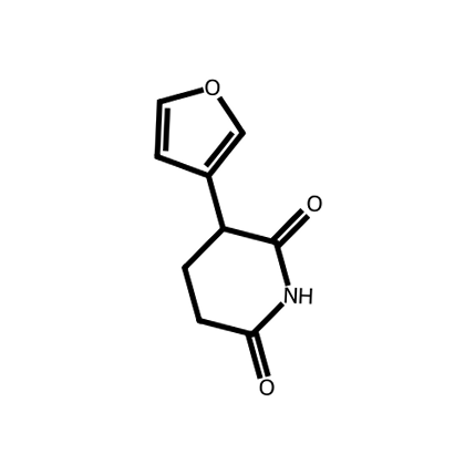 O=C1CCC(c2ccoc2)C(=O)N1